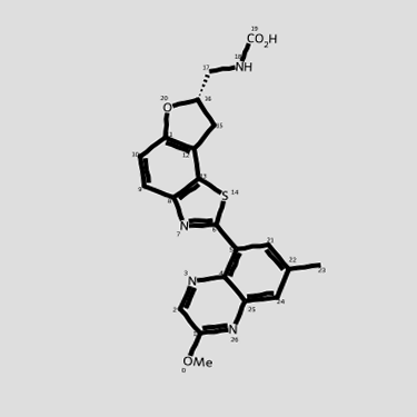 COc1cnc2c(-c3nc4ccc5c(c4s3)C[C@@H](CNC(=O)O)O5)cc(C)cc2n1